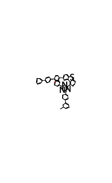 CC1C=CC=C(c2ccc(-c3nc(-c4ccccc4)nc(-c4cccc5sc6ccc(-c7ccc(-c8ccc(-c9ccccc9)cc8)cc7)cc6c45)n3)cc2)C1